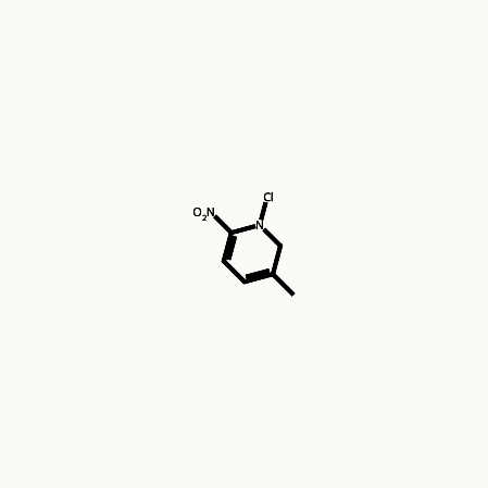 CC1=CC=C([N+](=O)[O-])N(Cl)C1